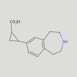 CCOC(=O)C1CC1c1ccc2c(c1)CCNCC2